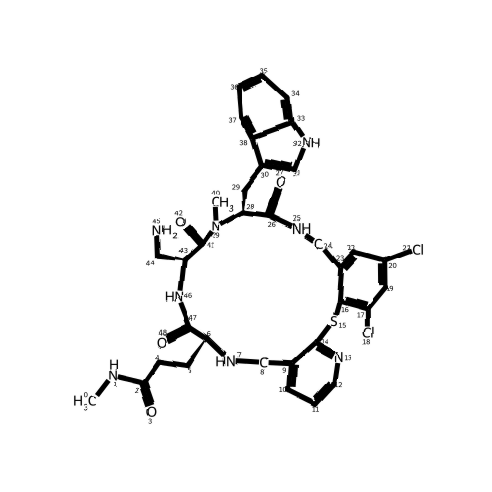 CNC(=O)CC[C@@H]1NCc2cccnc2Sc2c(Cl)cc(Cl)cc2CNC(=O)[C@H](Cc2c[nH]c3ccccc23)N(C)C(=O)[C@H](CN)NC1=O